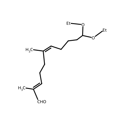 CCOC(CCCC=C(C)CCC=C(C)C=O)OCC